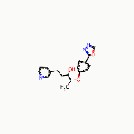 C[C@H](Oc1ccc(-c2nnco2)cc1)[C@H](O)CCc1cccnc1